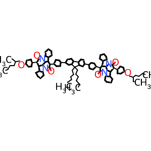 CCCCCCC1(CCCCCC)c2cc(-c3ccc(-c4c(=O)n5c6ccccc6c6c(-c7ccc(OCC(CC)CCCC)cc7)c(=O)n7c8ccccc8c4c7c65)cc3)ccc2-c2ccc(-c3ccc(-c4c(=O)n5c6ccccc6c6c(-c7ccc(OCC(CC)CCCC)cc7)c(=O)n7c8ccccc8c4c7c65)cc3)cc21